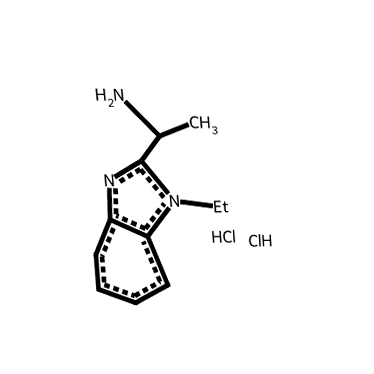 CCn1c(C(C)N)nc2ccccc21.Cl.Cl